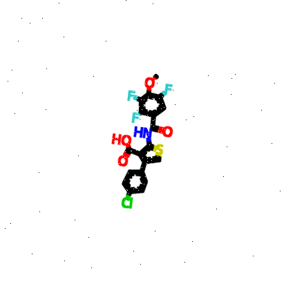 COc1c(F)cc(C(=O)Nc2scc(-c3ccc(Cl)cc3)c2C(=O)O)c(F)c1F